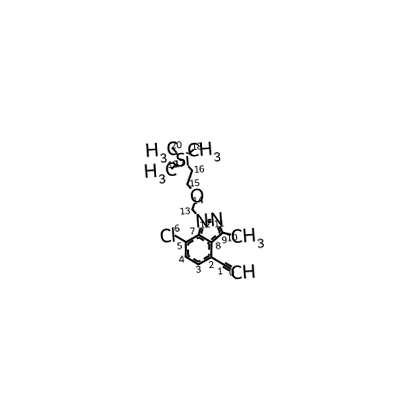 C#Cc1ccc(Cl)c2c1c(C)nn2COCC[Si](C)(C)C